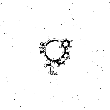 CN1CCN(C(=O)OC(C)(C)C)c2ccn3ncc(c3n2)-c2cccc(c2)OCCCS1(=O)=O